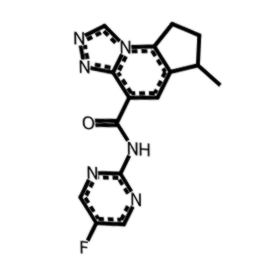 CC1CCc2c1cc(C(=O)Nc1ncc(F)cn1)c1nncn21